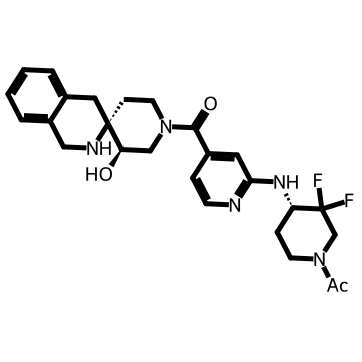 CC(=O)N1CC[C@H](Nc2cc(C(=O)N3CC[C@]4(Cc5ccccc5CN4)[C@H](O)C3)ccn2)C(F)(F)C1